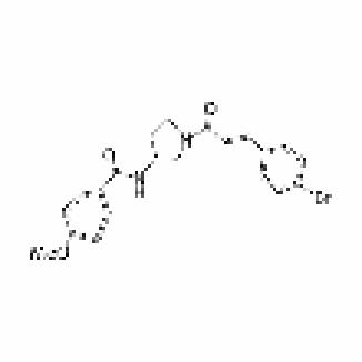 COc1ccc(C(=O)NC2CCN(C(=O)C=Cc3ccc(Br)cc3)C2)cc1